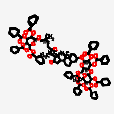 CC1O[C@@H](O[C@@H]2C(COC(=O)c3ccccc3)O[C@@H](OC3CCC4(C)C(CCC5C4CCC4(C)C5CC(=O)C4[C@H](C)C(=O)CC[C@H](C)CO[C@@H]4OC(COC(=O)c5ccccc5)[C@H](OC(=O)c5ccccc5)C(OC(=O)c5ccccc5)C4OC(=O)c4ccccc4)C3)C(OC(=O)c3ccccc3)C2OC(=O)c2ccccc2)C(OC(=O)c2ccccc2)C(OC(=O)c2ccccc2)[C@H]1OC(=O)c1ccccc1